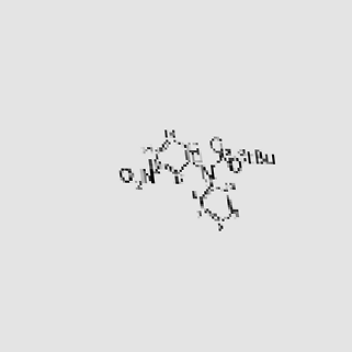 CC(C)(C)OC(=O)N(c1ccccc1)c1cccc([N+](=O)[O-])c1